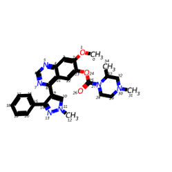 COc1cc2ncnc(-c3cn(C)nc3-c3ccccc3)c2cc1OC(=O)N1CCN(C)CC1C